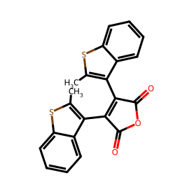 Cc1sc2ccccc2c1C1=C(c2c(C)sc3ccccc23)C(=O)OC1=O